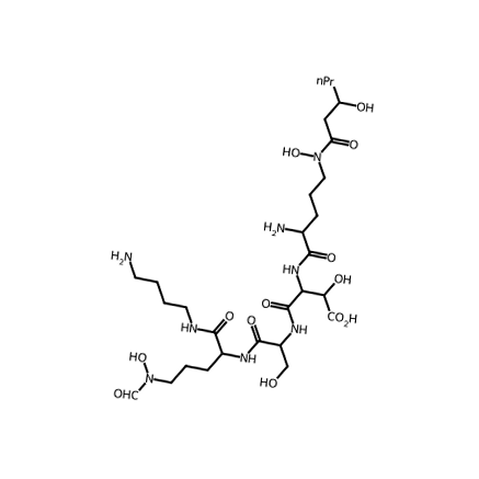 CCCC(O)CC(=O)N(O)CCCC(N)C(=O)NC(C(=O)NC(CO)C(=O)NC(CCCN(O)C=O)C(=O)NCCCCN)C(O)C(=O)O